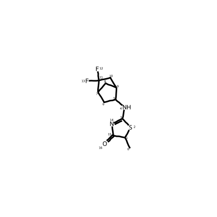 CC1SC(NC2CC3CC2CC3(F)F)=NC1=O